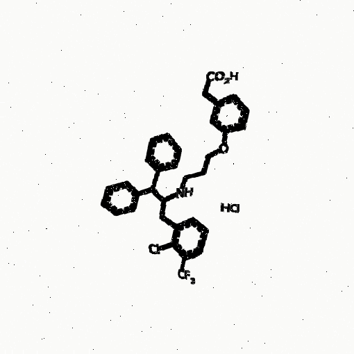 Cl.O=C(O)Cc1cccc(OCCCNC(Cc2cccc(C(F)(F)F)c2Cl)C(c2ccccc2)c2ccccc2)c1